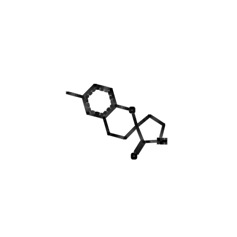 Cc1ccc2c(c1)CCC1(CCNC1=O)O2